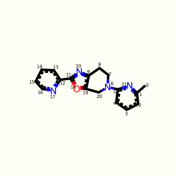 Cc1cccc(N2CCc3nc(-c4ccccn4)oc3C2)n1